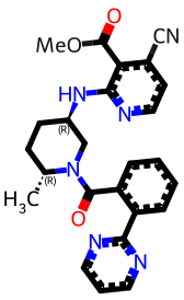 COC(=O)c1c(C#N)ccnc1N[C@@H]1CC[C@@H](C)N(C(=O)c2ccccc2-c2ncccn2)C1